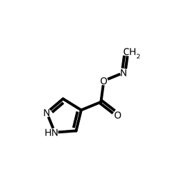 C=NOC(=O)c1cn[nH]c1